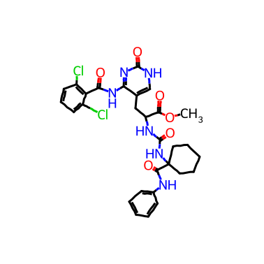 COC(=O)C(Cc1c[nH]c(=O)nc1NC(=O)c1c(Cl)cccc1Cl)NC(=O)NC1(C(=O)Nc2ccccc2)CCCCC1